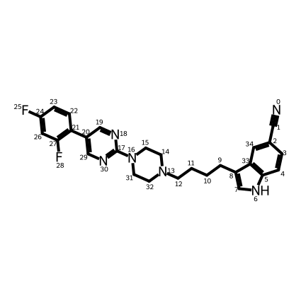 N#Cc1ccc2[nH]cc(CCCCN3CCN(c4ncc(-c5ccc(F)cc5F)cn4)CC3)c2c1